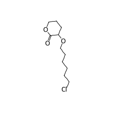 O=C1OCCCC1OCCCCCCCl